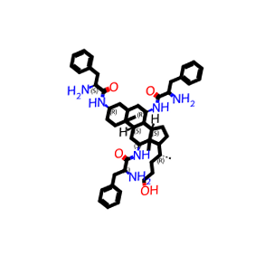 C[C@H](CCCO)C1CC[C@H]2C3[C@H](NC(=O)C(N)Cc4ccccc4)CC4C[C@H](NC(=O)[C@@H](N)Cc5ccccc5)CCC4(C)[C@H]3C[C@H](NC(=O)[C@@H](N)Cc3ccccc3)C12C